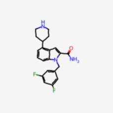 NC(=O)c1cc2c(C3CCNCC3)cccc2n1Cc1cc(F)cc(F)c1